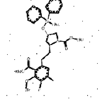 COC(=O)c1c(CC[C@H]2C[C@H](O[Si](c3ccccc3)(c3ccccc3)C(C)(C)C)CN2C(=O)OC(C)(C)C)cc(C)c(F)c1OC(C)C